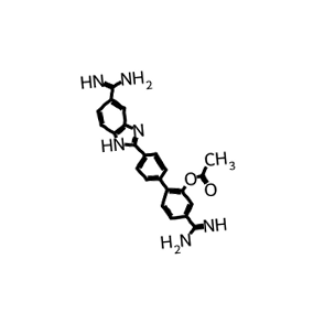 CC(=O)Oc1cc(C(=N)N)ccc1-c1ccc(-c2nc3cc(C(=N)N)ccc3[nH]2)cc1